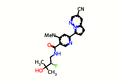 CNc1cc(-c2ccc3cc(C#N)cnn23)ncc1C(=O)NC[C@@H](F)C(C)(C)O